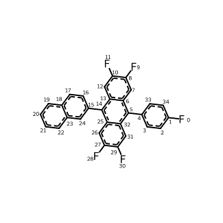 Fc1ccc(-c2c3cc(F)c(F)cc3c(-c3ccc4ccccc4c3)c3cc(F)c(F)cc23)cc1